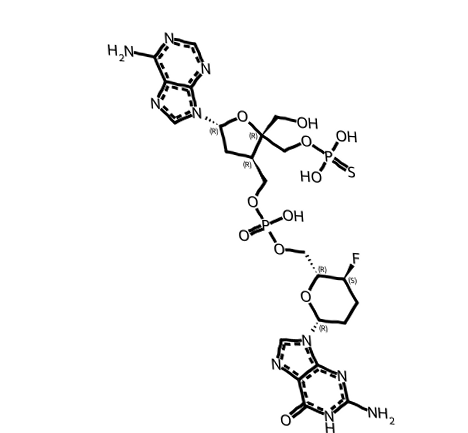 Nc1nc2c(ncn2[C@H]2CC[C@H](F)[C@@H](COP(=O)(O)OC[C@H]3C[C@H](n4cnc5c(N)ncnc54)O[C@]3(CO)COP(O)(O)=S)O2)c(=O)[nH]1